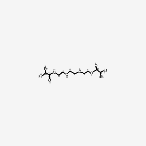 CCC(CC)C(=O)OCCOCCOCCOC(=O)C(CC)CC